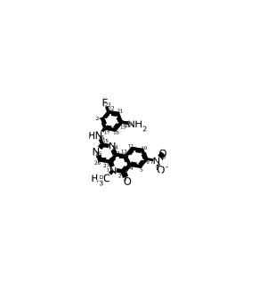 Cn1c(=O)c2cc([N+](=O)[O-])ccc2c2nc(Nc3cc(N)cc(F)c3)ncc21